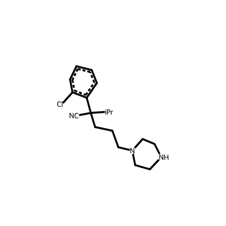 CC(C)C(C#N)(CCCN1CCNCC1)c1ccccc1Cl